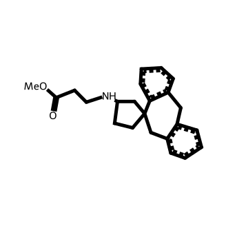 COC(=O)CCNC1CCC2(Cc3ccccc3Cc3ccccc32)C1